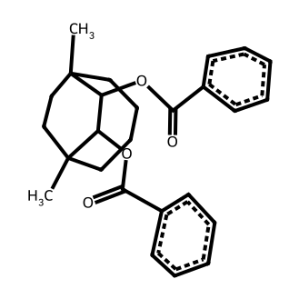 CC12CCCCC(C)(CC1)C(OC(=O)c1ccccc1)C2OC(=O)c1ccccc1